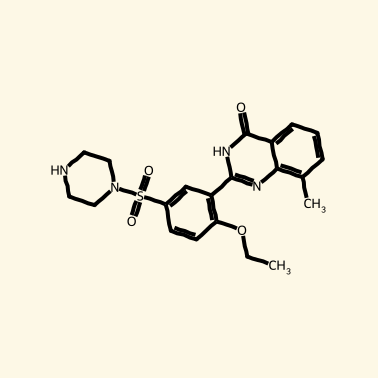 CCOc1ccc(S(=O)(=O)N2CCNCC2)cc1-c1nc2c(C)cccc2c(=O)[nH]1